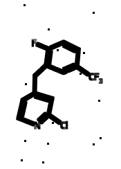 Fc1ccc(C(F)(F)F)cc1Cc1ccnc(Cl)c1